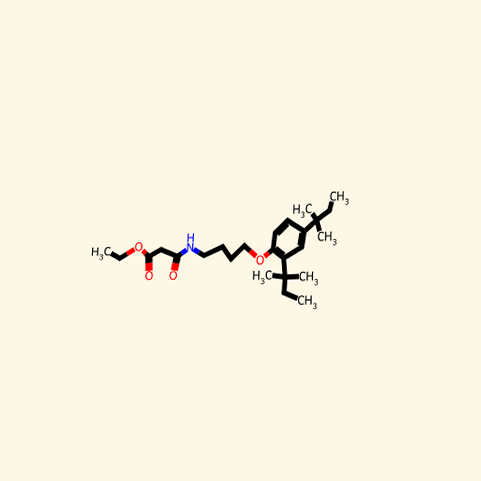 CCOC(=O)CC(=O)NCCCCOc1ccc(C(C)(C)CC)cc1C(C)(C)CC